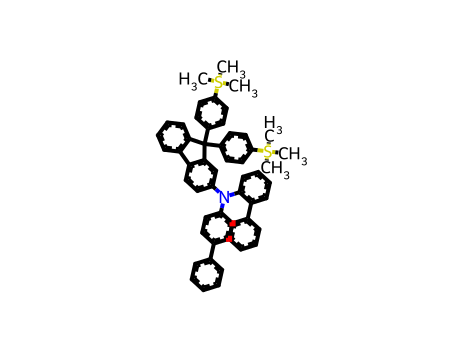 CS(C)(C)c1ccc(C2(c3ccc(S(C)(C)C)cc3)c3ccccc3-c3ccc(N(c4ccc(-c5ccccc5)cc4)c4ccccc4-c4ccccc4)cc32)cc1